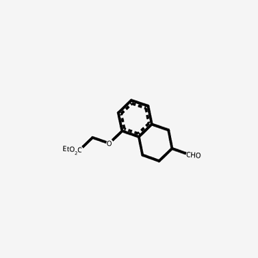 CCOC(=O)COc1cccc2c1CCC(C=O)C2